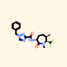 C[C@@H]1CC[C@H](NC(=O)c2ncn(Cc3ccccc3)n2)C(=O)N(C)[C@@H]1C(F)F